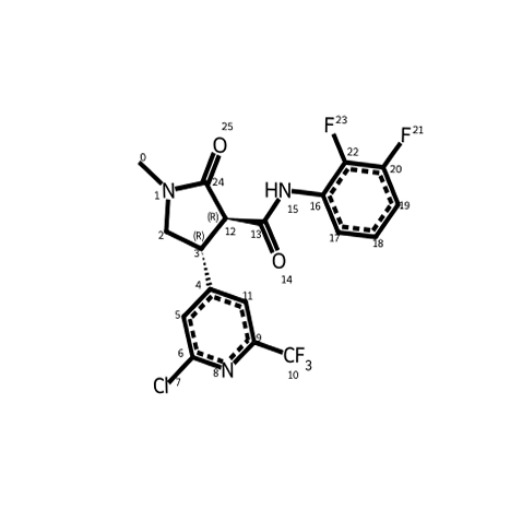 CN1C[C@@H](c2cc(Cl)nc(C(F)(F)F)c2)[C@H](C(=O)Nc2cccc(F)c2F)C1=O